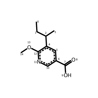 CCC(C)c1cc(C(=O)O)cnc1OC